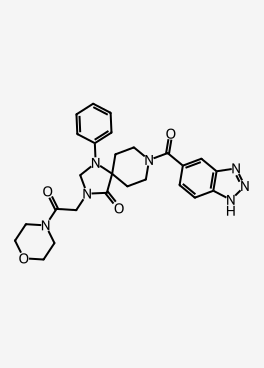 O=C(CN1CN(c2ccccc2)C2(CCN(C(=O)c3ccc4[nH]nnc4c3)CC2)C1=O)N1CCOCC1